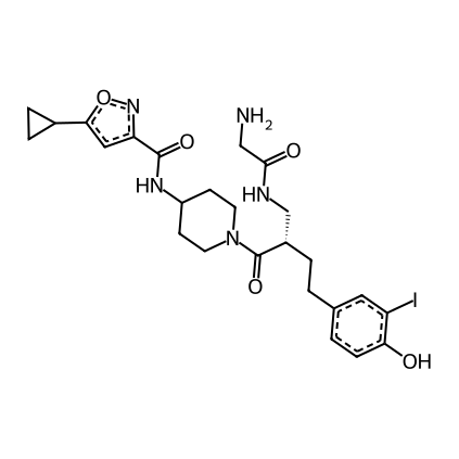 NCC(=O)NC[C@H](CCc1ccc(O)c(I)c1)C(=O)N1CCC(NC(=O)c2cc(C3CC3)on2)CC1